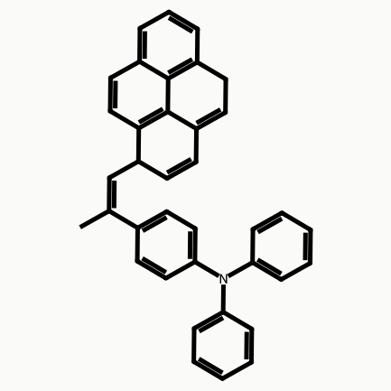 CC(=CC1C=CC2=CCc3cccc4ccc1c2c34)c1ccc(N(c2ccccc2)c2ccccc2)cc1